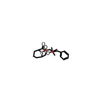 CC(C)(C)OC(=O)N1C2CCCC1C(=O)N(CCCc1ccccc1)C2